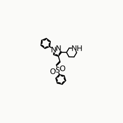 O=S(=O)(C=Cc1cn(-c2ccccc2)nc1C1CCCNC1)c1ccccc1